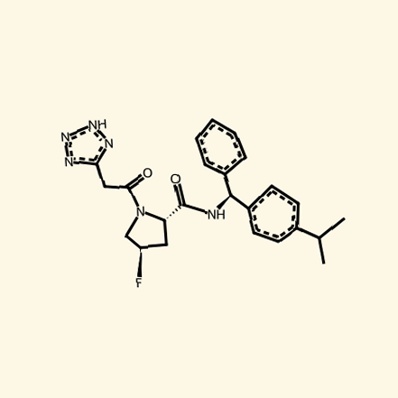 CC(C)c1ccc([C@@H](NC(=O)[C@@H]2C[C@@H](F)CN2C(=O)Cc2nn[nH]n2)c2ccccc2)cc1